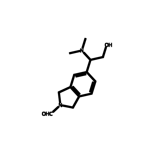 CN(C)C(CO)c1ccc2c(c1)CN(C=O)C2